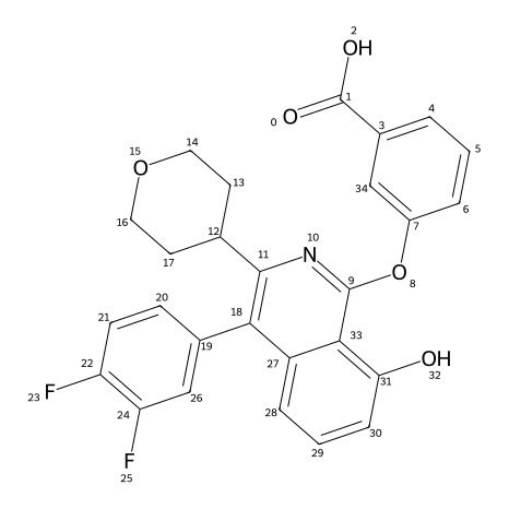 O=C(O)c1cccc(Oc2nc(C3CCOCC3)c(-c3ccc(F)c(F)c3)c3cccc(O)c23)c1